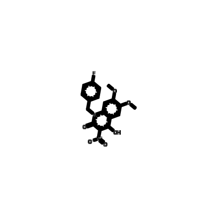 COc1cc2c(O)c([N+](=O)[O-])c(=O)n(Cc3ccc(F)cc3)c2cc1OC